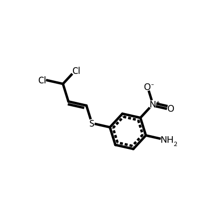 Nc1ccc(SC=CC(Cl)Cl)cc1[N+](=O)[O-]